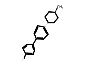 C[C@H]1CC[C@H](c2ccc(-c3ccc(F)cc3)cc2)CC1